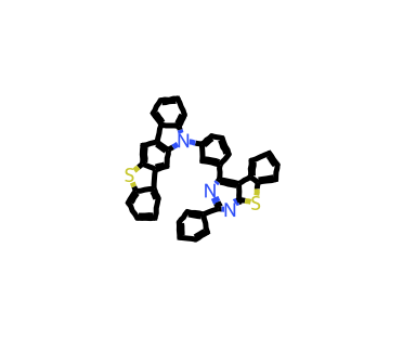 c1ccc(-c2nc(-c3cccc(-n4c5ccccc5c5cc6sc7ccccc7c6cc54)c3)c3c(n2)sc2ccccc23)cc1